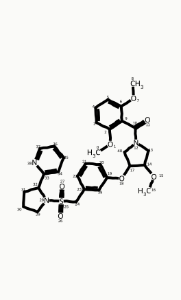 COc1cccc(OC)c1C(=O)N1CC(OC)C(Oc2cccc(CS(=O)(=O)N3CCCC3c3ccccn3)c2)C1